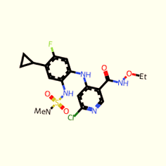 CCONC(=O)c1cnc(Cl)cc1Nc1cc(F)c(C2CC2)cc1NS(=O)(=O)NC